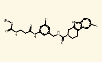 CC(C)(C)OC(=O)NCCC(=O)Nc1cc(Cl)cc(CNC(=O)N2CCc3c([nH]c4ccc(Cl)cc34)C2)c1